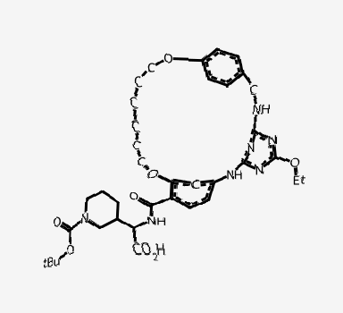 CCOc1nc2nc(n1)Nc1ccc(C(=O)NC(C(=O)O)C3CCCN(C(=O)OC(C)(C)C)C3)c(c1)OCCCCCCOc1ccc(cc1)CN2